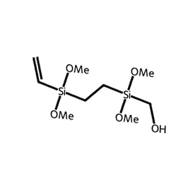 C=C[Si](CC[Si](CO)(OC)OC)(OC)OC